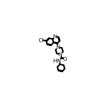 O=C(NC1CC=CCC1)N1CCN(c2ccnc3cc(Cl)ccc23)CC1